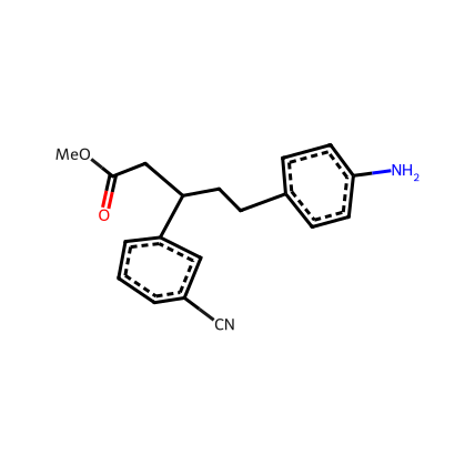 COC(=O)CC(CCc1ccc(N)cc1)c1cccc(C#N)c1